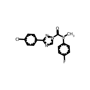 CN(C(=O)n1cnc(-c2ccc(Cl)cc2)n1)c1ccc(F)cc1